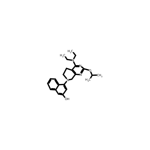 CCN(CC)c1nc(OC(C)C)nc2c1CCN(c1cc(O)cc3ccccc13)C2